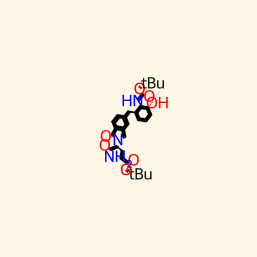 CC(C)(C)OC(=O)CC[C@@H](C(N)=O)N1Cc2cc(C[C@@H]3CCC[C@@H](O)[C@H]3NC(=O)OC(C)(C)C)ccc2C1=O